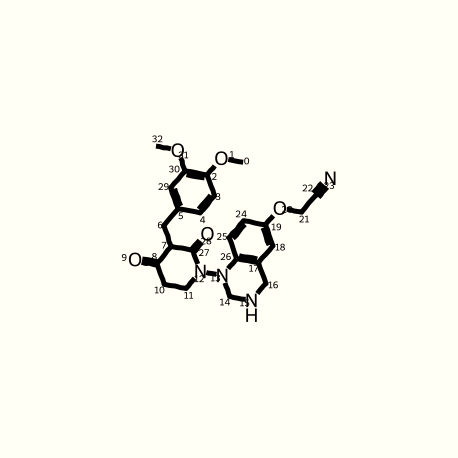 COc1ccc(CC2C(=O)CCN(N3CNCc4cc(OCC#N)ccc43)C2=O)cc1OC